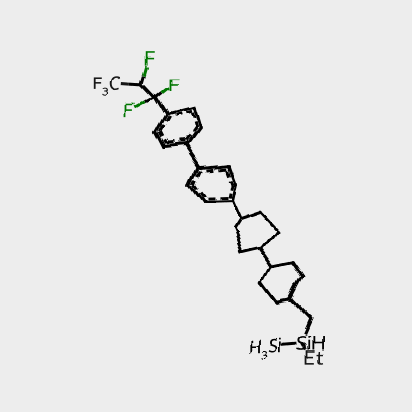 CC[SiH]([SiH3])CC1CCC(C2CCC(c3ccc(-c4ccc(C(F)(F)C(F)C(F)(F)F)cc4)cc3)CC2)CC1